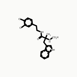 CC(Cc1c[nH]c2ccccc12)(NC(=O)O)C(=O)NCCc1ccc(Cl)c(Cl)c1